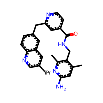 Cc1cc(N)nc(C)c1CNC(=O)c1ccnc(Cc2ccc3ncc(C(C)C)cc3c2)c1